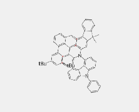 CC(C)(C)c1cc(-c2cccc3cccc(-c4ccccc4N(c4ccc5c(c4)C(C)(C)c4ccccc4-5)c4cccc5c4c4ccccc4n5-c4ccccc4)c23)cc(C(C)(C)C)c1